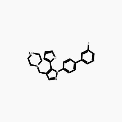 Fc1cccc(-c2ccc(-n3ncc(CN4CCNCC4)c3-c3ccco3)cc2)c1